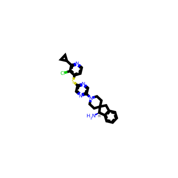 N[C@@H]1c2ccccc2CC12CCN(c1cnc(Sc3ccnc(C4CC4)c3Cl)cn1)CC2